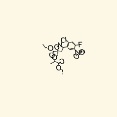 CCOC(=O)C(C)OCC1(C(=O)OCC)CC(c2cc([N+](=O)[O-])c(F)cc2Cl)=NO1